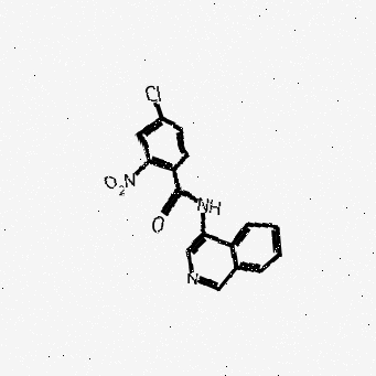 O=C(Nc1cncc2ccccc12)c1ccc(Cl)cc1[N+](=O)[O-]